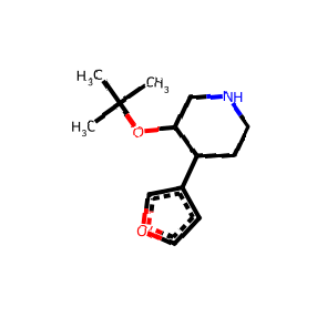 CC(C)(C)OC1CNCCC1c1ccoc1